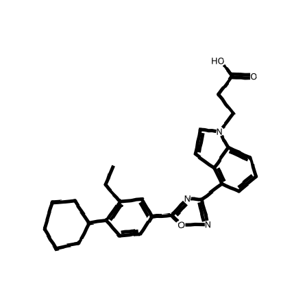 CCc1cc(-c2nc(-c3cccc4c3ccn4CCC(=O)O)no2)ccc1C1CCCCC1